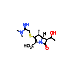 CC(O)[C@H]1C(=O)N2C(C(=O)O)=C(SCC(=N)N(C)C)[C@H](C)[C@@H]12